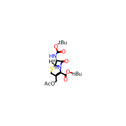 CCCCOC(=O)C1=C(COC(C)=O)CS[C@@H]2[C@H](NC(=O)OC(C)(C)C)C(=O)N12